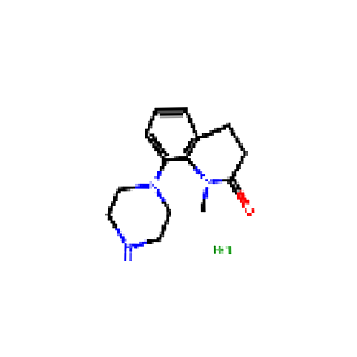 CN1C(=O)CCc2cccc(N3CCNCC3)c21.Cl